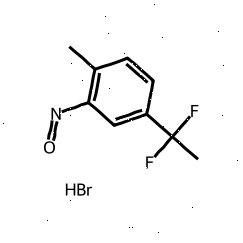 Br.Cc1ccc(C(C)(F)F)cc1N=O